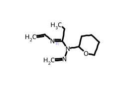 C=C/N=C(\CC)N(N=C)C1CCCCO1